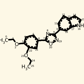 CCOc1ccc(-c2nc(-c3ccc4cc[nH]c4c3)no2)cc1OCC